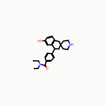 CCN(CC)C(=O)c1ccc(C2CC3(CCNCC3)Cc3ccc(O)cc32)cc1